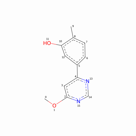 COc1cc(-c2ccc(C)c(O)c2)ncn1